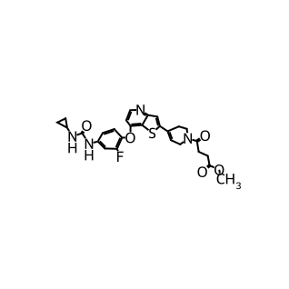 COC(=O)CCC(=O)N1CC=C(c2cc3nccc(Oc4ccc(NC(=O)NC5CC5)cc4F)c3s2)CC1